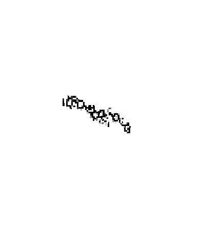 Cc1c(NC(=O)c2ccc(OCC3CCOC3)cc2)ccc2cc(CN[C@H]3CC[C@@](C)(O)CC3)cnc12